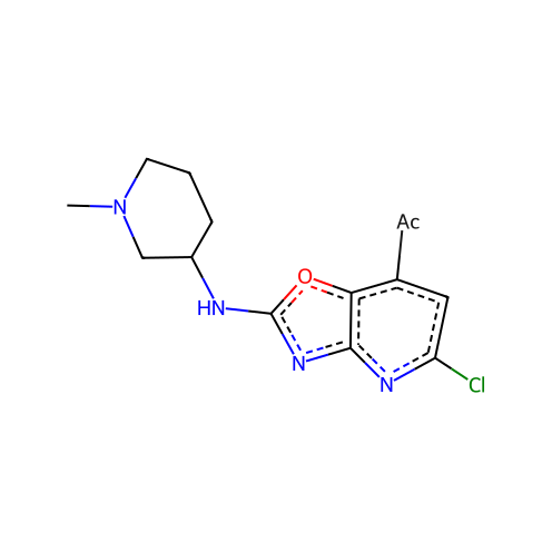 CC(=O)c1cc(Cl)nc2nc(NC3CCCN(C)C3)oc12